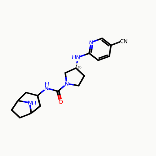 N#Cc1ccc(N[C@@H]2CCN(C(=O)NC3CC4CCC(C3)N4)C2)nc1